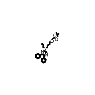 C=CCN(CCCCOCC(=O)OC(C)(C)C)c1cnc(-c2ccccc2)c(-c2ccccc2)n1